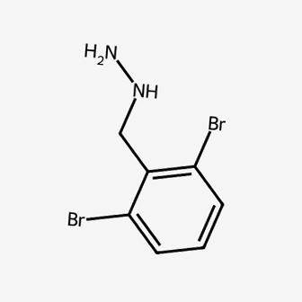 NNCc1c(Br)cccc1Br